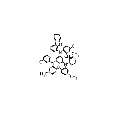 Cc1cccc(N2c3cc(C)ccc3B3c4ccc(C)cc4N(c4cccc(C)c4)c4cc(N(c5ccc(C)cc5C)c5cccc6c5oc5ccccc56)cc2c43)c1